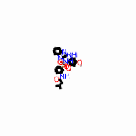 COc1cc(Nc2nc3ccccc3nc2NS(=O)(=O)c2cccc(NC(=O)CC(C)C)c2)cc(OC)c1